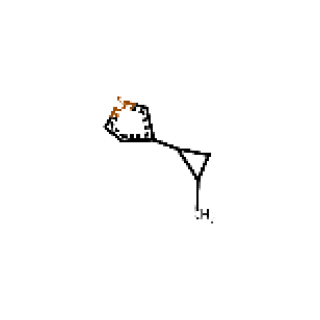 CC1CC1c1ccsc1